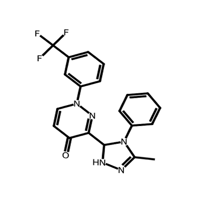 CC1=NNC(c2nn(-c3cccc(C(F)(F)F)c3)ccc2=O)N1c1ccccc1